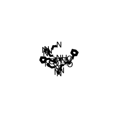 N#CCCn1nnnc1CC[C@H](NC(=O)N[C@@H](CCc1nnnn1CCC#N)C(=O)OCc1ccccc1)C(=O)OCc1ccccc1